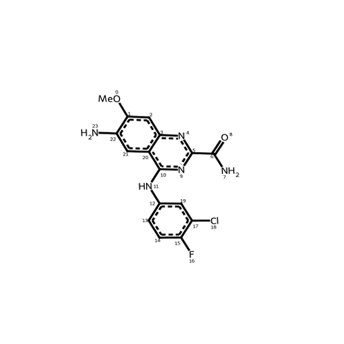 COc1cc2nc(C(N)=O)nc(Nc3ccc(F)c(Cl)c3)c2cc1N